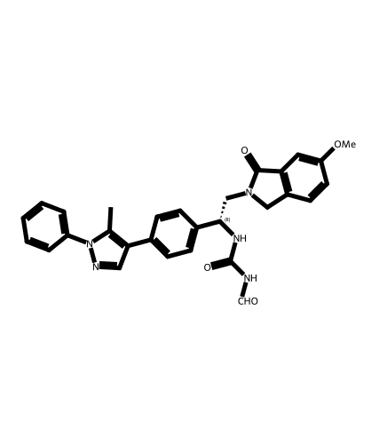 COc1ccc2c(c1)C(=O)N(C[C@H](NC(=O)NC=O)c1ccc(-c3cnn(-c4ccccc4)c3C)cc1)C2